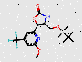 COc1cc(C(F)(F)F)cc([C@H]2OC(=O)N[C@H]2CO[Si](C)(C)C(C)(C)C)n1